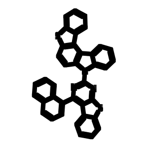 c1ccc2c(-c3nc(-n4c5ccccc5c5c6c(ccc54)sc4ccccc46)nc4sc5ccccc5c34)cccc2c1